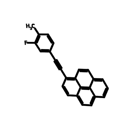 Cc1ccc(C#Cc2ccc3ccc4cccc5ccc2c3c45)cc1F